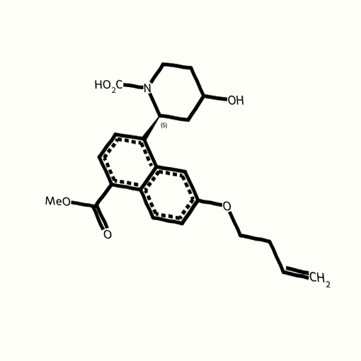 C=CCCOc1ccc2c(C(=O)OC)ccc([C@@H]3CC(O)CCN3C(=O)O)c2c1